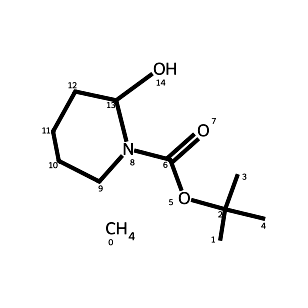 C.CC(C)(C)OC(=O)N1CCCCC1O